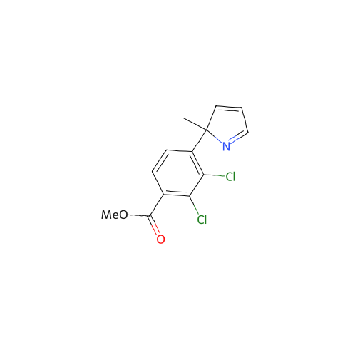 COC(=O)c1ccc(C2(C)C=CC=N2)c(Cl)c1Cl